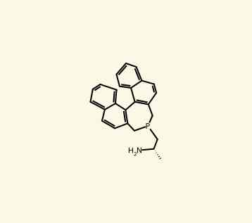 C[C@H](N)CP1Cc2ccc3ccccc3c2-c2c(ccc3ccccc23)C1